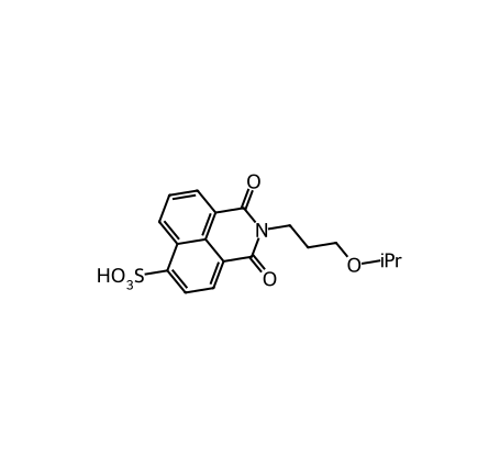 CC(C)OCCCN1C(=O)c2cccc3c(S(=O)(=O)O)ccc(c23)C1=O